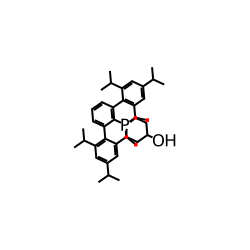 CC(C)c1cc(C(C)C)c(-c2cccc(-c3c(C(C)C)cc(C(C)C)cc3C(C)C)c2P2CCC(O)CC2)c(C(C)C)c1